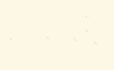 O=C(c1csc2c(O)nc(-c3ccccn3)nc12)N1CCC(c2cccnc2)CC1